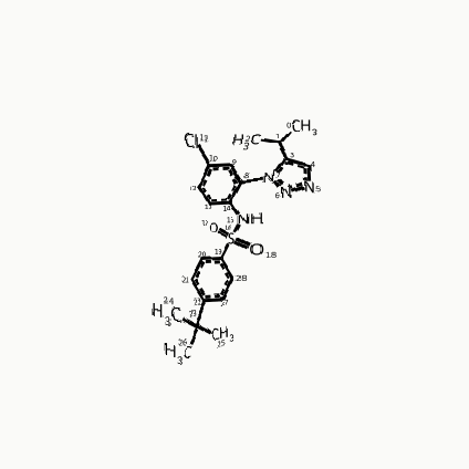 CC(C)c1cnnn1-c1cc(Cl)ccc1NS(=O)(=O)c1ccc(C(C)(C)C)cc1